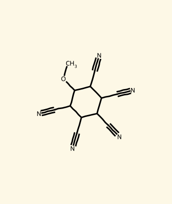 COC1C(C#N)C(C#N)C(C#N)C(C#N)C1C#N